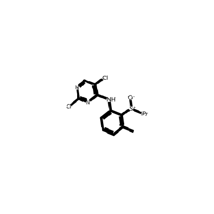 Cc1cccc(Nc2nc(Cl)ncc2Cl)c1[S+]([O-])C(C)C